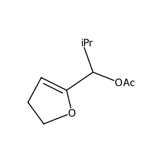 CC(=O)OC(C1=CCCO1)C(C)C